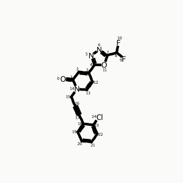 O=c1cc(-c2nnc(C(F)F)o2)ccn1CC#Cc1ccccc1Cl